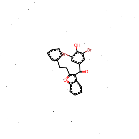 O=C(c1cc(Br)c(O)c(Br)c1)c1c(CCc2ccccc2)oc2ccccc12